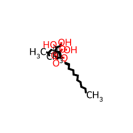 CCCCCCCCCCC=COC1=C(OO)[C@@](CC(C)C)([C@@H](O)CO)OC1=O